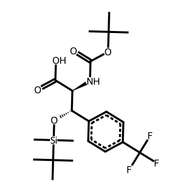 CC(C)(C)OC(=O)N[C@H](C(=O)O)[C@@H](O[Si](C)(C)C(C)(C)C)c1ccc(C(F)(F)F)cc1